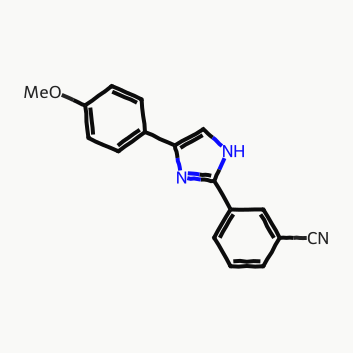 COc1ccc(-c2c[nH]c(-c3cccc(C#N)c3)n2)cc1